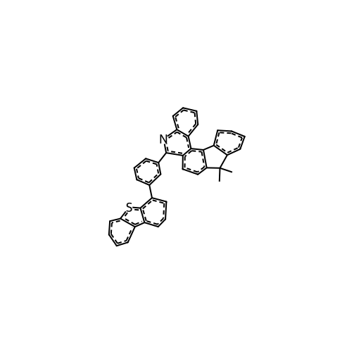 CC1(C)c2ccccc2-c2c1ccc1c(-c3cccc(-c4cccc5c4sc4ccccc45)c3)nc3ccccc3c21